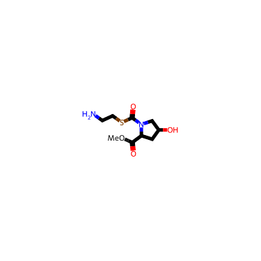 COC(=O)C1CC(O)CN1C(=O)SCCN